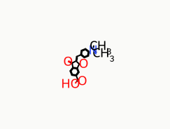 CN(C)c1ccc(C=C2C(=O)c3ccc(C(=O)O)cc3C2=O)cc1